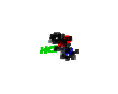 CC1CCCCN1CCCOC(=O)c1ccccc1.Cl